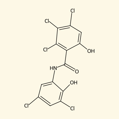 O=C(Nc1cc(Cl)cc(Cl)c1O)c1c(O)cc(Cl)c(Cl)c1Cl